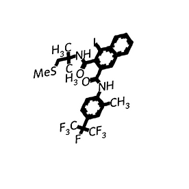 CSCC(C)(C)NC(=O)c1c(C(=O)Nc2ccc(C(F)(C(F)(F)F)C(F)(F)F)cc2C)cc2ccccc2c1I